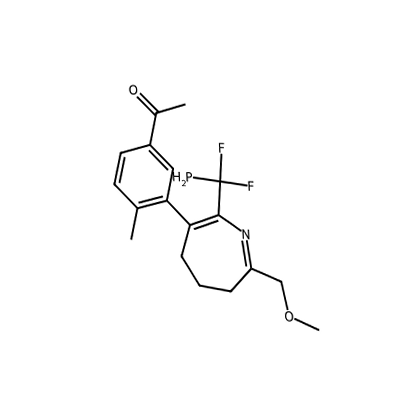 COCC1=NC(C(F)(F)P)=C(c2cc(C(C)=O)ccc2C)CCC1